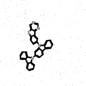 c1ccc2c(c1)c1ccccc1n2-c1ccc2c3ccccc3n(-c3ccc4sc5cncnc5c4c3)c2c1